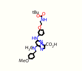 COc1ccc(CN(C)c2cc(Nc3cccc(OCCNC(=O)OC(C)(C)C)c3)nn3c(C(=O)O)cnc23)cc1